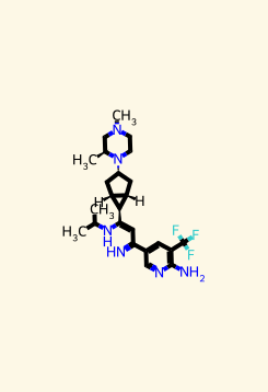 CC(C)N/C(=C\C(=N)c1cnc(N)c(C(F)(F)F)c1)[C@H]1[C@@H]2C[C@H](N3CCN(C)C[C@@H]3C)C[C@@H]21